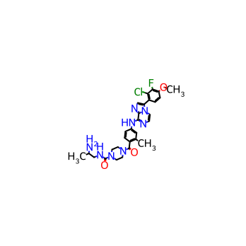 COc1ccc(-c2cnc3c(Nc4ccc(C(=O)N5CCN(C(=O)NCC(C)N)CC5)c(C)c4)nccn23)c(Cl)c1F